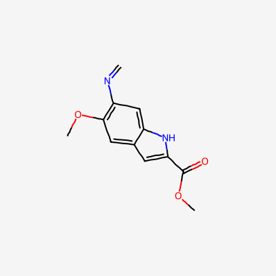 C=Nc1cc2[nH]c(C(=O)OC)cc2cc1OC